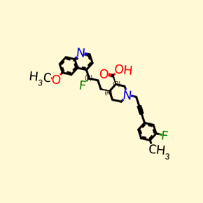 COc1ccc2nccc([C@H](F)CC[C@@H]3CCN(CC#Cc4ccc(C)c(F)c4)C[C@@H]3C(=O)O)c2c1